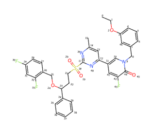 CCOc1cccc(Cn2cc(-c3cc(C)nc(S(=O)(=O)CCC(OCc4ccc(F)cc4F)c4ccccc4)n3)cc(F)c2=O)c1